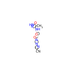 Cc1c(NC[C@@H]2CC[C@H](CC(=O)N3CCN(c4ccc(C#N)cn4)CC3)O2)cn[nH]c1=O